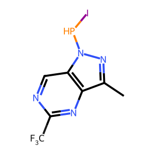 Cc1nn(PI)c2cnc(C(F)(F)F)nc12